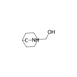 OCC12CCC(CC1)CN2